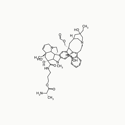 CCC1(O)C[C@H]2C[N@](CCc3c([nH]c4ccccc34)[C@@](COC=O)(c3cc4c(cc3CO)N(C)C3[C@]45CCN4CC=C[C@](CC)(C45)[C@@H](O)[C@]3(O)C(=O)NCCCOC(=O)[C@H](C)N)C2)C1